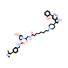 Cc1ncsc1-c1ccc(CNC(=O)[C@@H]2C[C@@H](O)CN2C(=O)CNC(=O)CCCCCCCN2CCC(c3c[nH]c4nnc(-c5ccccc5O)cc34)CC2)cc1